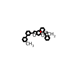 C=PC(Oc1ccc2cc(-c3cccc(-c4cccc(C)c4)c3)oc2c1)(c1ccccc1)c1ccccc1